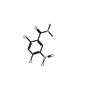 CN(C)C(=O)c1cc([N+](=O)[O-])c(Cl)cc1Cl